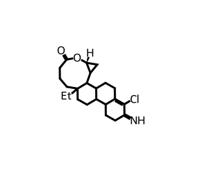 CCC12CCCC(=O)O[C@@H]3CC3C1C1CCC3=C(Cl)C(=N)CCC3C1CC2